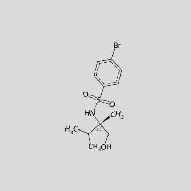 CC(C)[C@@](C)(CO)NS(=O)(=O)c1ccc(Br)cc1